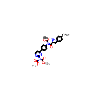 COc1ccc(C[C@@H](N)C(=O)N(C(=O)OC(C)(C)C)c2ccc(-c3ccnc(N(C(=O)OC(C)(C)C)C(=O)OC(C)(C)C)n3)cc2)cc1